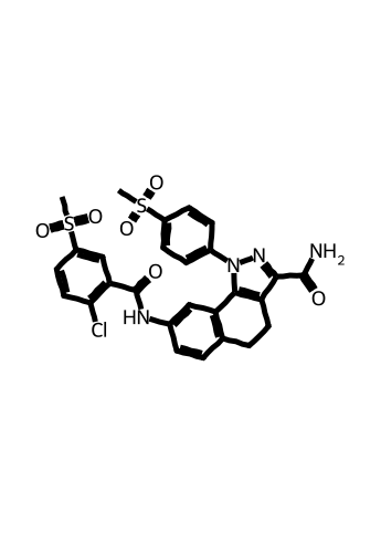 CS(=O)(=O)c1ccc(-n2nc(C(N)=O)c3c2-c2cc(NC(=O)c4cc(S(C)(=O)=O)ccc4Cl)ccc2CC3)cc1